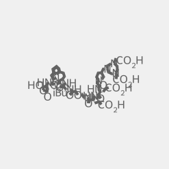 CC[C@H](C)[C@H](NC(=O)COCCNC(=O)[C@@H](CCC(=O)O)NC(=O)[C@@H](CCC(=O)O)NC(=O)CN1CCC(CN2CCN(CC(=O)O)CCN(CC(=O)O)CC2)CC1)C(=O)N[C@H]1CCc2cccc3c2N(C1=O)[C@H](C(=O)NC1CC(=O)OC1O)C3